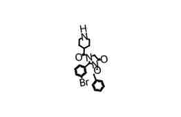 O=C(C1CCNCC1)N1CC(=O)N(OCc2ccccc2)C1c1cccc(Br)c1